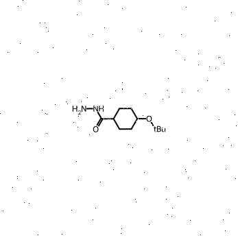 CC(C)(C)OC1CCC(C(=O)NN)CC1